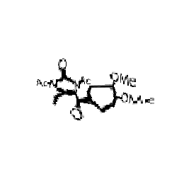 COc1ccc(C(=O)c2c(C)n(C(C)=O)c(=O)n2C(C)=O)cc1OC